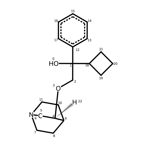 OC(CO[C@@H]1CN2CCC1CC2)(c1ccccc1)C1CCC1